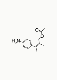 CC(=O)OCC(C)=C(C)c1ccc(N)cc1